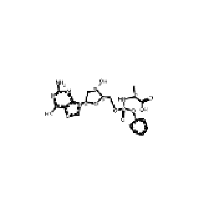 C[C@H](NP(=O)(OC[C@H]1O[C@@H](n2cnc3c(S)nc(N)nc32)C[C@@H]1O)Oc1ccccc1)C(=O)O